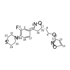 Fc1cc(C2=NO[C@H](CCOc3ccon3)C2)ccc1N1CCSCC1